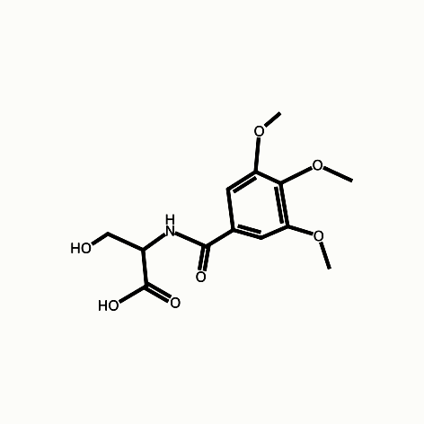 COc1cc(C(=O)NC(CO)C(=O)O)cc(OC)c1OC